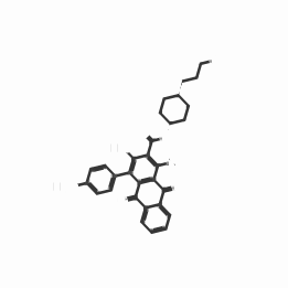 CCCC[C@H]1CC[C@H](OC(=O)c2c(N)c3c(c(-c4ccc(C)cc4)c2S)C(=O)c2ccccc2C3=O)CC1